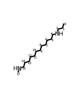 CCCNCCCCCCCCCCCCNC